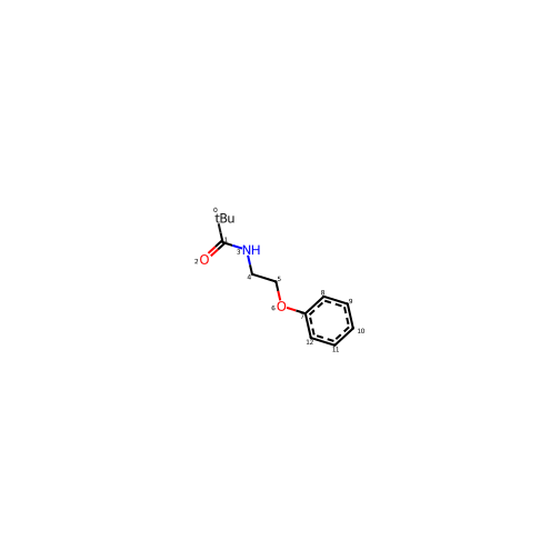 CC(C)(C)C(=O)NCCOc1ccccc1